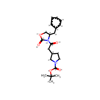 CC(C)(C)OC(=O)N1CCC(CC(=O)N2C(=O)OCC2Cc2ccccc2)C1